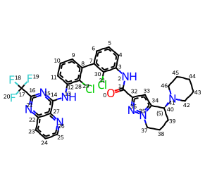 O=C(Nc1cccc(-c2cccc(Nc3nc(C(F)(F)F)nc4cccnc34)c2Cl)c1Cl)c1cc2n(n1)CCC[C@@H]2N1CCCCC1